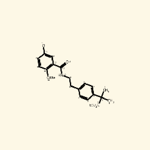 CCOC(=O)C(C)(C)c1ccc(CCNC(=O)c2cc(Cl)ccc2OC)cc1